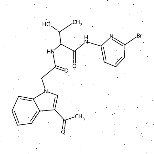 CC(=O)c1cn(CC(=O)NC(C(=O)Nc2cccc(Br)n2)C(C)O)c2ccccc12